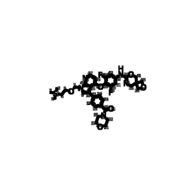 C[Si](C)(C)CCOCn1cc(-c2ccc(C(=O)N3CCOCC3)cc2)c2c(Oc3c(F)cc(NC4=NCC5(COC5)CO4)cc3F)ccnc21